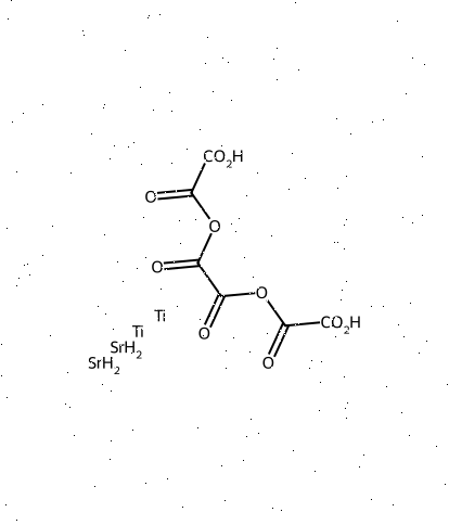 O=C(O)C(=O)OC(=O)C(=O)OC(=O)C(=O)O.[SrH2].[SrH2].[Ti].[Ti]